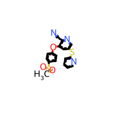 CS(=O)(=O)c1ccc(Oc2cc(Sc3ccccn3)cnc2C#N)cc1